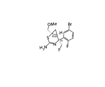 COC[C@]12C[C@H]1[C@@](CF)(c1cc(Br)ccc1F)N=C(N)S2